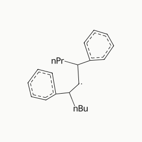 CCCCC([CH]C(CCC)c1ccccc1)c1ccccc1